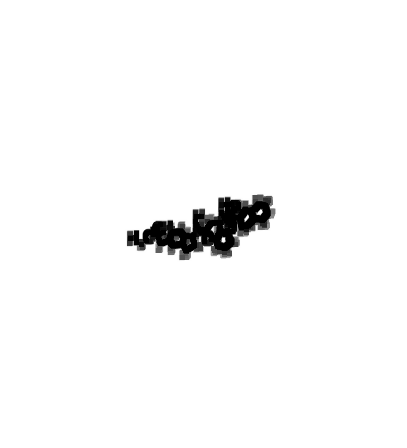 CN(C)Cc1ccc2c(c1)CCC2NC(=O)CC(NS(=O)(=O)c1ccc2ccccc2c1)c1ccccc1